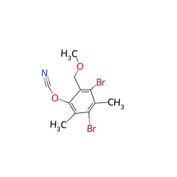 COCc1c(Br)c(C)c(Br)c(C)c1OC#N